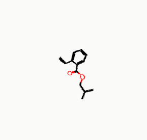 C=Cc1ccccc1C(=O)OCC(C)C